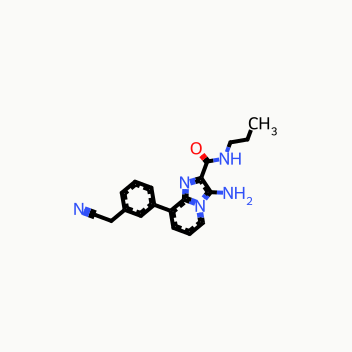 CCCNC(=O)c1nc2c(-c3cccc(CC#N)c3)cccn2c1N